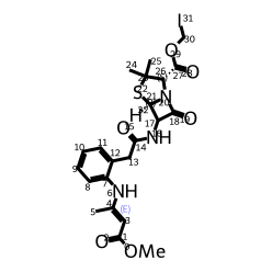 COC(=O)/C=C(\C)Nc1ccccc1CC(=O)NC1C(=O)N2[C@@H]1SC(C)(C)[C@@H]2C(=O)OCI